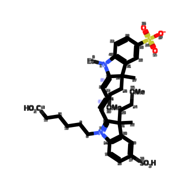 CCN1/C(=C/C=C/C2=[N+](CCCCCC(=O)O)c3ccc(S(=O)(=O)O)cc3C2(C)CCOC)C(C)(CCOC)c2cc(S(=O)(=O)[O-])ccc21